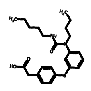 CCCCCNC(=O)N(CCCC)c1cccc(Sc2ccc(CC(=O)O)cc2)c1